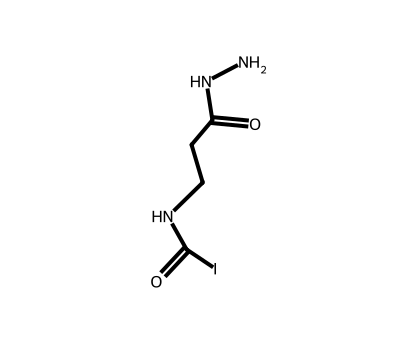 NNC(=O)CCNC(=O)I